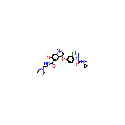 CCN(CC)CCNC(=O)c1cc2c(Oc3ccc(NC(=O)NC4CC4)c(Cl)c3)ccnc2cc1OC